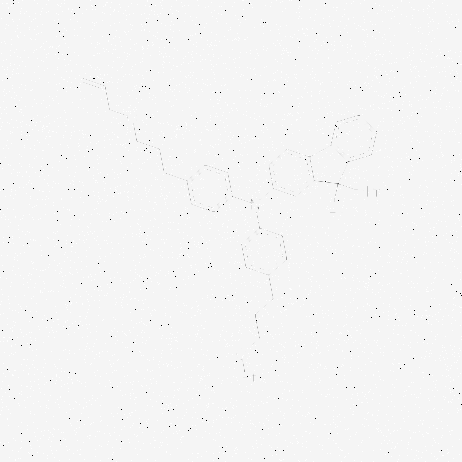 C=CCOCCCc1ccc(N(c2ccc(CCCOCC)cc2)c2ccc3c(c2)C(CC)(CCC)c2ccccc2-3)cc1